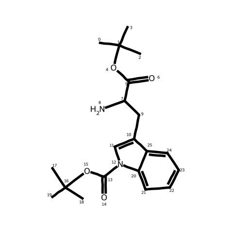 CC(C)(C)OC(=O)C(N)Cc1cn(C(=O)OC(C)(C)C)c2ccccc12